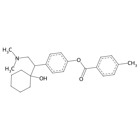 Cc1ccc(C(=O)Oc2ccc(C(CN(C)C)C3(O)CCCCC3)cc2)cc1